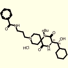 CCCCN1C(=O)[C@@H]([C@H](O)C2CCCCC2)NC(=O)C12CCN(CCCNC(=O)c1ccccc1)CC2.Cl